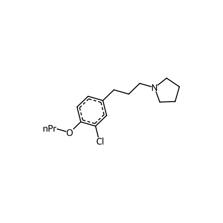 CCCOc1ccc(CCCN2CCCC2)cc1Cl